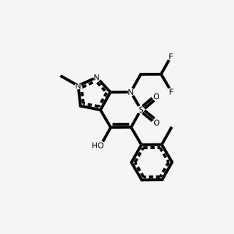 Cc1ccccc1C1=C(O)c2cn(C)nc2N(CC(F)F)S1(=O)=O